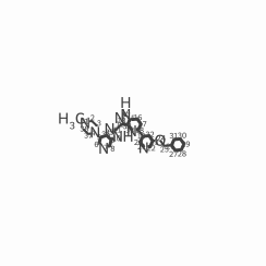 CN1CCN(c2cncc3[nH]c(-c4n[nH]c5ccc(-c6cncc(OCc7ccccc7)c6)nc45)nc23)CC1